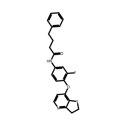 O=C(CCCc1ccccc1)Nc1ccc(Oc2ccnc3c2SCC3)c(F)c1